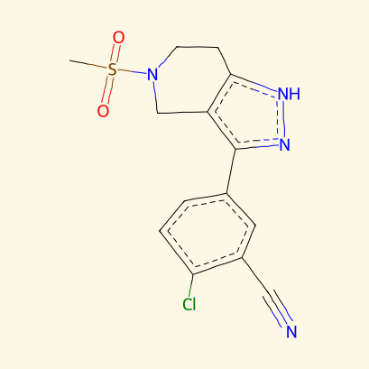 CS(=O)(=O)N1CCc2[nH]nc(-c3ccc(Cl)c(C#N)c3)c2C1